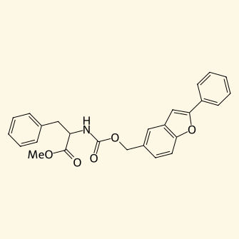 COC(=O)C(Cc1ccccc1)NC(=O)OCc1ccc2oc(-c3ccccc3)cc2c1